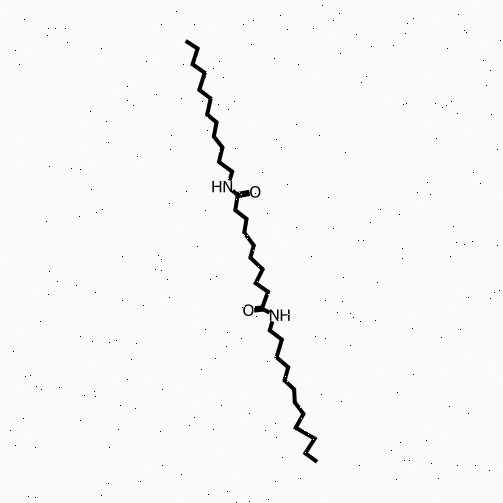 CCCCCCCCCCCCNC(=O)CCCCCCCCC(=O)NCCCCCCCCCCCC